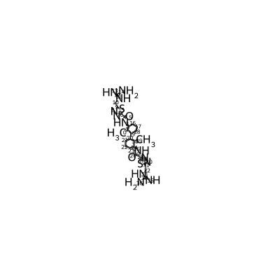 Cc1c(NC(=O)c2nnc(CNC(=N)N)s2)cccc1-c1cccc(NC(=O)c2nnc(CNC(=N)N)s2)c1C